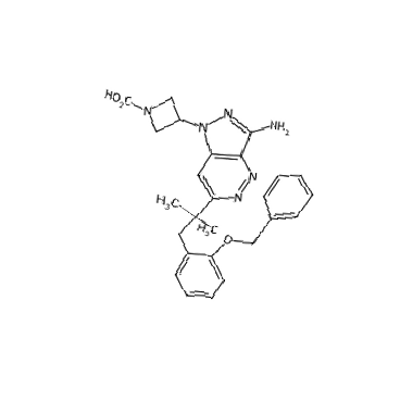 CC(C)(Cc1ccccc1OCc1ccccc1)c1cc2c(nn1)c(N)nn2C1CN(C(=O)O)C1